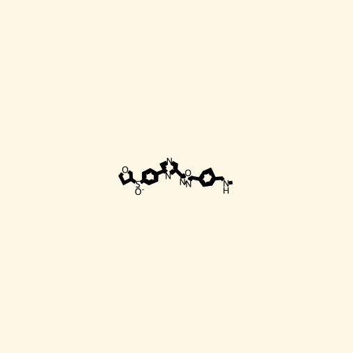 CNCc1ccc(-c2nnc(-c3cncc(-c4ccc([S+]([O-])C5CCOC5)cc4)n3)o2)cc1